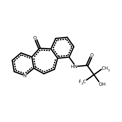 CC(O)(C(=O)Nc1cccc2c(=O)c3cccnc3ccc12)C(F)(F)F